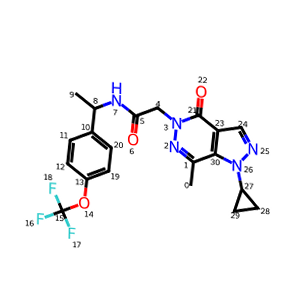 Cc1nn(CC(=O)NC(C)c2ccc(OC(F)(F)F)cc2)c(=O)c2cnn(C3CC3)c12